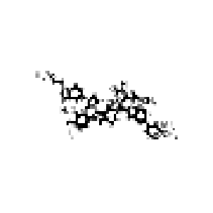 COCCn1ncc2cc(-n3ccn(-c4c5c(nn4-c4cc(C)c(F)c(C)c4)CCN(C(=O)c4cc6cc(C7CCOC(C)(C)C7)ccc6n4[C@@]4(c6noc(=O)[nH]6)C[C@@H]4C)[C@H]5C)c3=O)ccc21